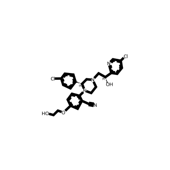 N#Cc1cc(OCCO)ccc1N1CCN(C[C@@H](O)c2ccc(Cl)cn2)C[C@H]1c1ccc(Cl)cc1